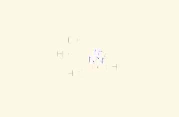 CCCCC(CCCC)N(C(=O)CCC)c1nccc(CC)n1